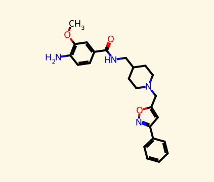 COc1cc(C(=O)NCC2CCN(Cc3cc(-c4ccccc4)no3)CC2)ccc1N